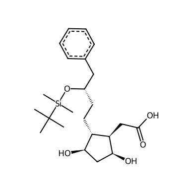 CC(C)(C)[Si](C)(C)O[C@@H](CC[C@@H]1[C@@H](CC(=O)O)[C@@H](O)C[C@H]1O)Cc1ccccc1